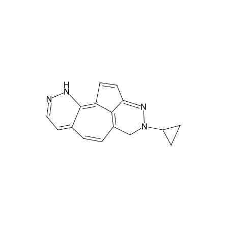 C1=NNc2c3ccc4c-3c(ccc2=C1)CN(C1CC1)N=4